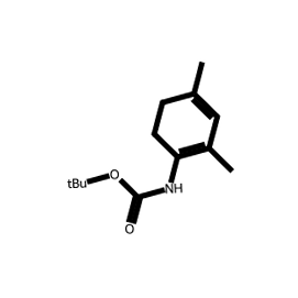 CC1=CC(C)=C(NC(=O)OC(C)(C)C)CC1